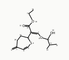 C=C1C=CSC(/C(=C\OC(O)C(C)C)C(=O)OCC)CC1